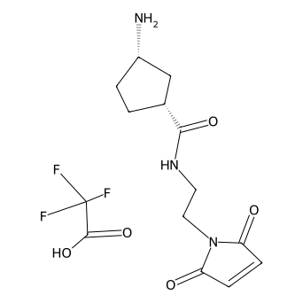 N[C@H]1CC[C@@H](C(=O)NCCN2C(=O)C=CC2=O)C1.O=C(O)C(F)(F)F